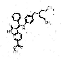 CCCN(CCC)Cc1ccc(NC(=C2C(=O)Nc3cc(C(=O)OC)ccc32)c2ccccc2)cc1